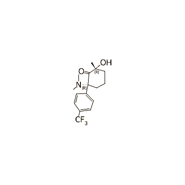 CN(C)[C@@]1(c2ccc(C(F)(F)F)cc2)CCC[C@@](C)(O)C1=O